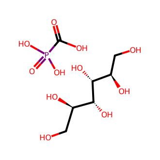 O=C(O)P(=O)(O)O.OC[C@@H](O)[C@@H](O)[C@H](O)[C@H](O)CO